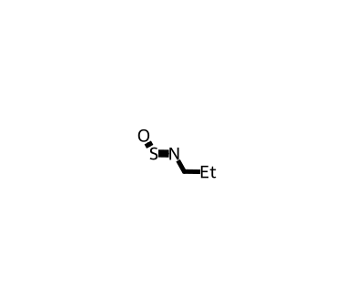 CCCN=S=O